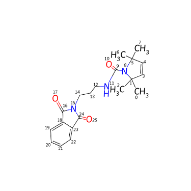 CC1(C)C=CC(C)(C)N1C(=O)NCCCN1C(=O)c2ccccc2C1=O